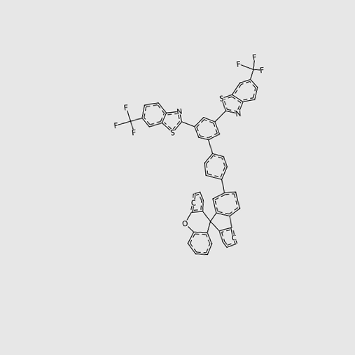 FC(F)(F)c1ccc2nc(-c3cc(-c4ccc(-c5ccc6c(c5)C5(c7ccccc7Oc7ccccc75)c5ccccc5-6)cc4)cc(-c4nc5ccc(C(F)(F)F)cc5s4)c3)sc2c1